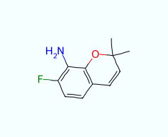 CC1(C)C=Cc2ccc(F)c(N)c2O1